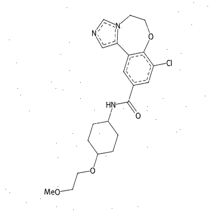 COCCOC1CCC(NC(=O)c2cc(Cl)c3c(c2)-c2cncn2CCO3)CC1